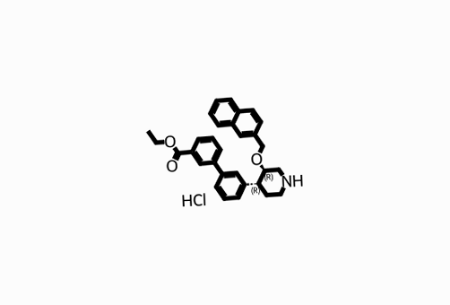 CCOC(=O)c1cccc(-c2cccc([C@H]3CCNC[C@@H]3OCc3ccc4ccccc4c3)c2)c1.Cl